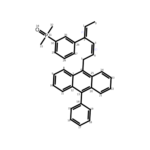 C/C=C(\C=C/Cc1c2ccccc2c(-c2ccccc2)c2ccccc12)c1cccc(P(C)(C)=O)c1